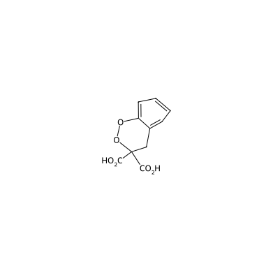 O=C(O)C1(C(=O)O)Cc2ccccc2OO1